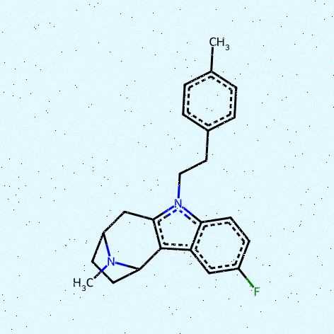 Cc1ccc(CCn2c3c(c4cc(F)ccc42)C2CCC(C3)N2C)cc1